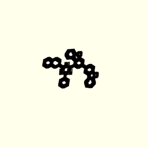 C1=CC(c2nc(-c3ccccc3)nc(-c3cc(-c4ccc5oc6ccccc6c5c4)cc4oc5ccccc5c34)n2)Cc2ccccc21